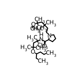 CCCC(CC)OC(C)(C)CC(C)(C)NC(=O)C1CCCN1CCC(C)(C)CC(C)(C)OC